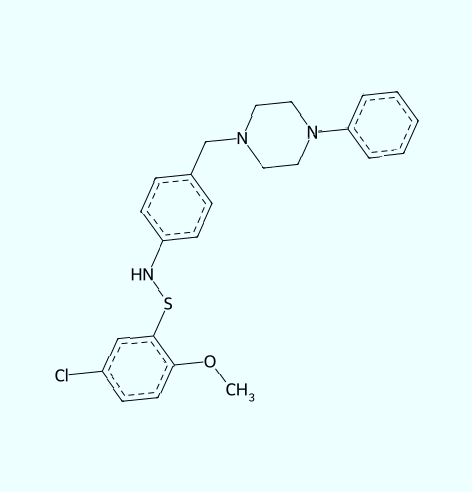 COc1ccc(Cl)cc1SNc1ccc(CN2CCN(c3ccccc3)CC2)cc1